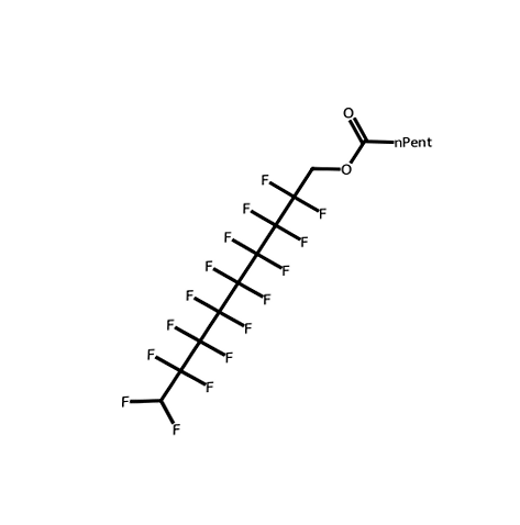 CCCCCC(=O)OCC(F)(F)C(F)(F)C(F)(F)C(F)(F)C(F)(F)C(F)(F)C(F)(F)C(F)F